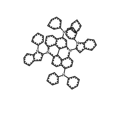 c1ccc(N(c2ccccc2)c2cc3c4c5c2cccc5n(-c2cc5ccccc5n2-c2ccccc2)c2ccc5c(N(c6ccccc6)c6ccccc6)ccc(c5c2-4)n3-c2cc3ccccc3n2-c2ccccc2)cc1